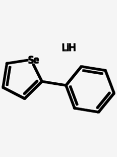 [LiH].c1ccc(-c2ccc[se]2)cc1